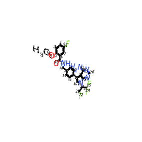 COc1ccc(F)cc1C(=O)NCc1ccc(-c2cn(C(CF)C(F)F)c3ncnc(N)c23)cc1